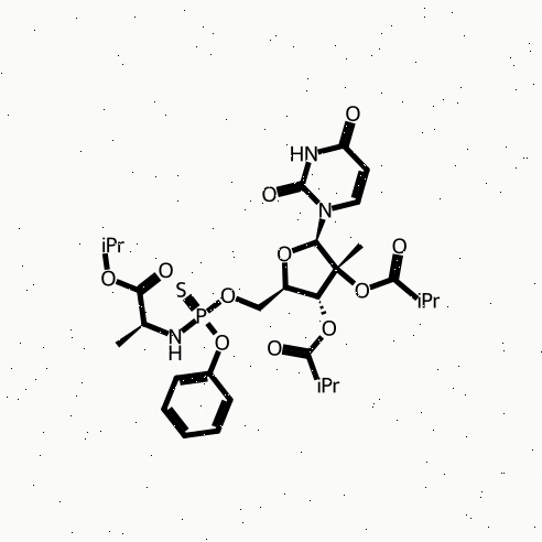 CC(C)OC(=O)[C@H](C)NP(=S)(OC[C@H]1O[C@@H](n2ccc(=O)[nH]c2=O)[C@](C)(OC(=O)C(C)C)[C@@H]1OC(=O)C(C)C)Oc1ccccc1